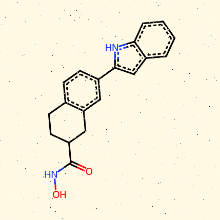 O=C(NO)C1CCc2ccc(-c3cc4ccccc4[nH]3)cc2C1